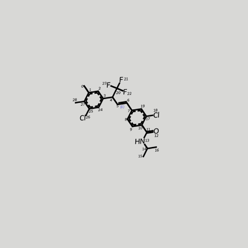 Cc1cc(C(/C=C/c2ccc(C(=O)NC(C)C)c(Cl)c2)C(F)(F)F)cc(Cl)c1C